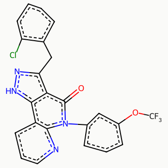 O=c1c2c(Cc3ccccc3Cl)n[nH]c2c2cccnc2n1-c1cccc(OC(F)(F)F)c1